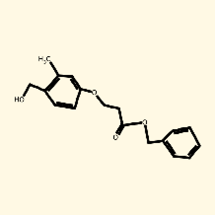 Cc1cc(OCCC(=O)OCc2ccccc2)ccc1CO